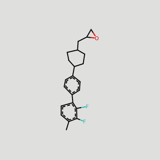 Cc1ccc(-c2ccc(C3CCC(CC4CO4)CC3)cc2)c(F)c1F